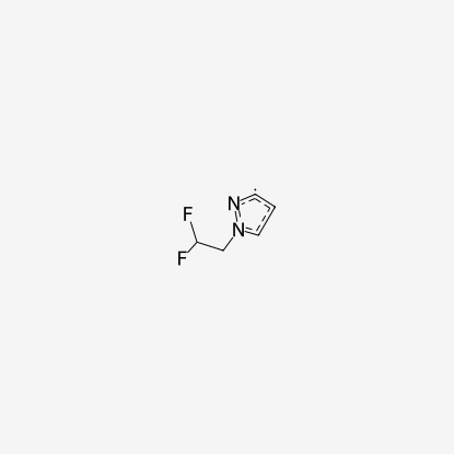 FC(F)Cn1cc[c]n1